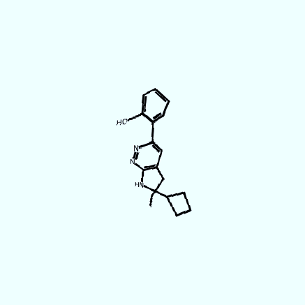 CC1(C2CCC2)Cc2cc(-c3ccccc3O)nnc2N1